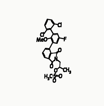 COc1c(-c2cccc3c2C(=O)N(CC(C)OS(C)(=O)=O)C3=O)cc(F)cc1-c1c(Cl)cccc1Cl